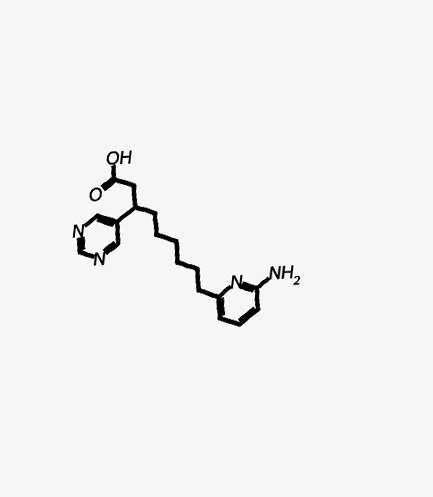 Nc1cccc(CCCCCCC(CC(=O)O)c2cncnc2)n1